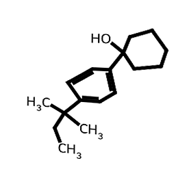 CCC(C)(C)c1ccc(C2(O)CCCCC2)cc1